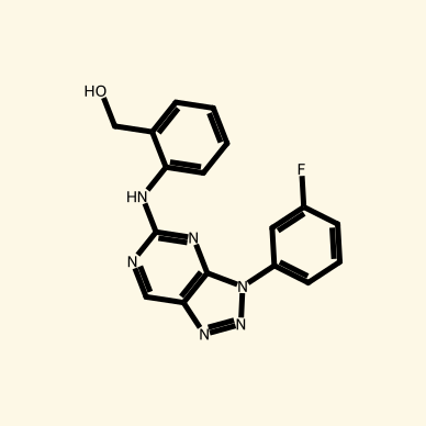 OCc1ccccc1Nc1ncc2nnn(-c3cccc(F)c3)c2n1